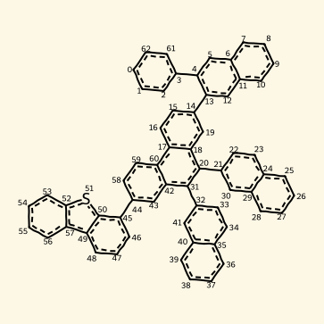 c1ccc(-c2cc3ccccc3cc2-c2ccc3c(c2)c(-c2ccc4ccccc4c2)c(-c2ccc4ccccc4c2)c2cc(-c4cccc5c4sc4ccccc45)ccc23)cc1